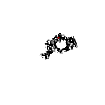 C=CC(=O)N(C)CC1CN(C(=O)N(C)[C@H](C(=O)N[C@H]2Cc3nc(cs3)-c3ccc4c(c3)c(c(-c3cccnc3[C@H](C)OC)n4CC)CC(C)(C)COC(=O)[C@@]3(O)CCCN(N3)C2=O)C(C)C)C1